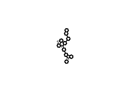 c1ccc(-n2c3ccccc3c3cc(-c4ccc(N(c5ccc(-c6cccc(-c7ccc8ccccc8c7)c6)cc5)c5cccc6sc7ccccc7c56)cc4)ccc32)cc1